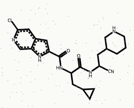 N#CC(CC1CCCNC1)NC(=O)C(CC1CC1)NC(=O)c1cc2cc(Cl)ncc2[nH]1